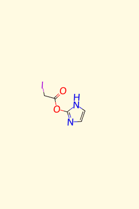 O=C(CI)Oc1ncc[nH]1